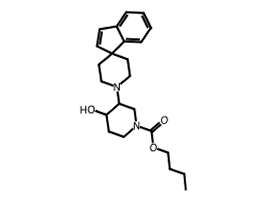 CCCCOC(=O)N1CCC(O)C(N2CCC3(C=Cc4ccccc43)CC2)C1